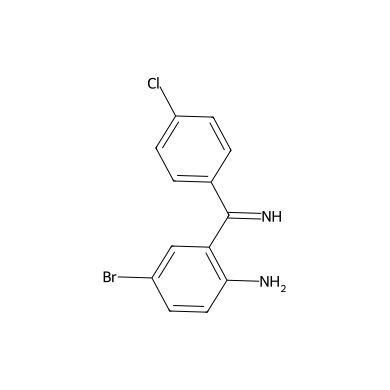 N=C(c1ccc(Cl)cc1)c1cc(Br)ccc1N